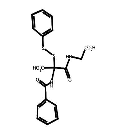 O=C(O)CNC(=O)C(NC(=O)c1ccccc1)(SSc1ccccc1)C(=O)O